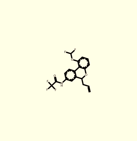 C=CCC1Oc2cccc(OC(F)F)c2-c2ccc(NC(=O)C(F)(F)F)cc21